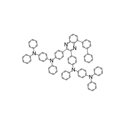 c1ccc(-c2cccc(-c3cccc4nc(-c5ccc(N(c6ccccc6)c6ccc(N(c7ccccc7)c7ccccc7)cc6)cc5)c(-c5ccc(N(c6ccccc6)c6ccc(N(c7ccccc7)c7ccccc7)cc6)cc5)nc34)c2)cc1